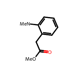 CNc1ccccc1CC(=O)OC